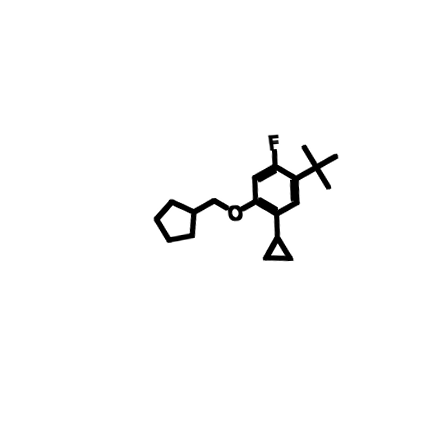 CC(C)(C)c1cc(C2CC2)c(OCC2CCCC2)cc1F